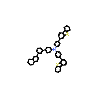 c1cc(-c2ccc(N(c3ccc(-c4ccc5c(c4)sc4ccccc45)cc3)c3ccc(-c4cccc5c4sc4ccccc45)cc3)cc2)cc(-c2ccc3ccccc3c2)c1